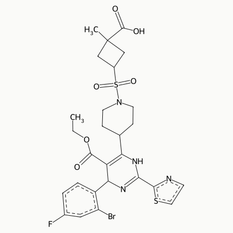 CCOC(=O)C1=C(C2CCN(S(=O)(=O)C3CC(C)(C(=O)O)C3)CC2)NC(c2nccs2)=NC1c1ccc(F)cc1Br